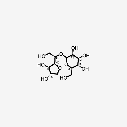 OC[C@H]1OC(O[C@H](CO)[C@H]2OC[C@H](O)[C@H]2O)[C@@H](O)[C@@H](O)[C@@H]1O